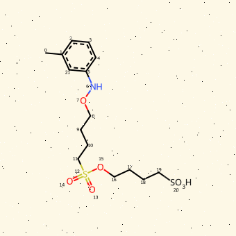 Cc1cccc(NOCCCCS(=O)(=O)OCCCCS(=O)(=O)O)c1